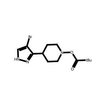 CC(C)(C)C(=O)ON1CCC(c2n[nH]cc2Br)CC1